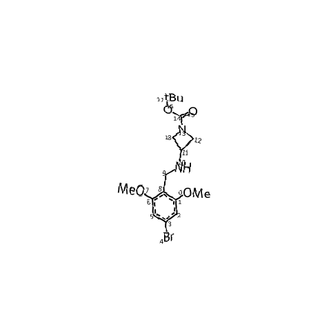 COc1cc(Br)cc(OC)c1CNC1CN(C(=O)OC(C)(C)C)C1